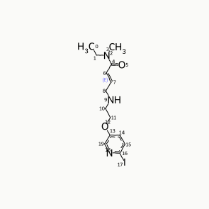 CCN(C)C(=O)/C=C/CNCCOc1ccc(I)nc1